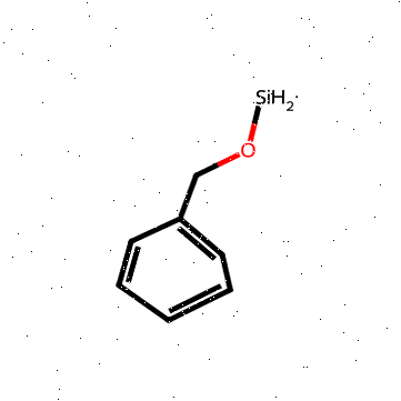 [SiH2]OCc1ccccc1